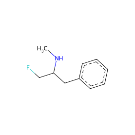 CNC(CF)Cc1ccccc1